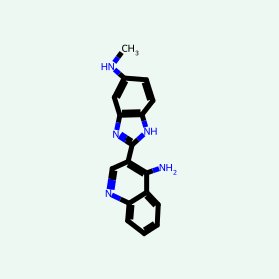 CNc1ccc2[nH]c(-c3cnc4ccccc4c3N)nc2c1